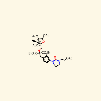 C#C[C@@]1(OC(C)=O)[C@@H](COC(Cc2ccc(N3CCCN(CCOC(C)=O)C3=O)cc2)(C(=O)OCC)C(=O)OCC)OC(OC(C)=O)[C@@H]1OC(C)=O